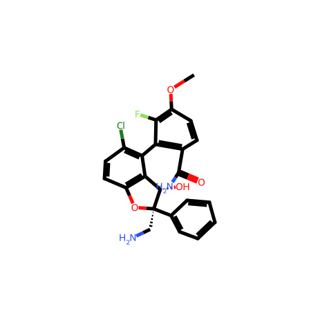 COc1ccc(C(N)=O)c(-c2c(Cl)ccc3c2[C@H](O)[C@@](CN)(c2ccccc2)O3)c1F